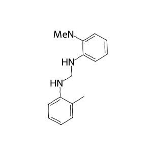 CNc1ccccc1NCNc1ccccc1C